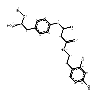 CCO[C@@H](Cc1ccc(OC(C)CC(=O)NCCc2ccc(Cl)cc2Cl)cc1)C(=O)O